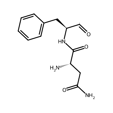 NC(=O)C[C@H](N)C(=O)N[C@H]([C]=O)Cc1ccccc1